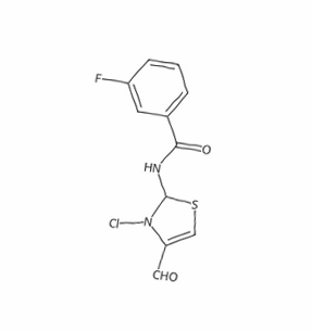 O=CC1=CSC(NC(=O)c2cccc(F)c2)N1Cl